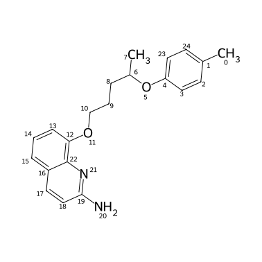 Cc1ccc(OC(C)CCCOc2cccc3ccc(N)nc23)cc1